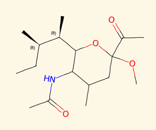 CC[C@@H](C)[C@@H](C)C1OC(OC)(C(C)=O)CC(C)C1NC(C)=O